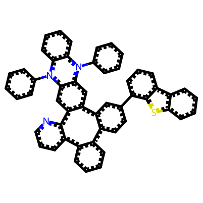 c1ccc(-n2c3ccccc3n(-c3ccccc3)c3cc4c(cc32)c2cc(-c3cccc5c3sc3ccccc35)ccc2c2ccccc2c2cccnc24)cc1